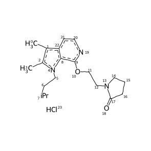 Cc1c(C)n(CCC(C)C)c2c(OCCN3CCCC3=O)nccc12.Cl